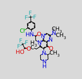 CCc1c(N2CCNCC2C)c(=O)c2nc(N(C)C)cnc2n1CC(=O)Nc1ccc(C(F)(F)F)cc1Cl.O=C(O)C(F)(F)F